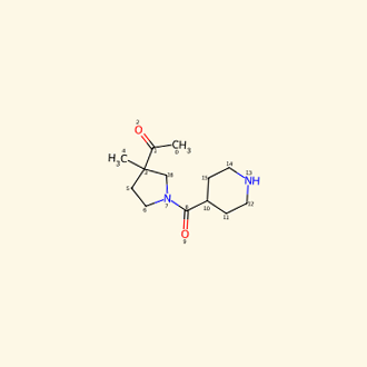 CC(=O)C1(C)CCN(C(=O)C2CCNCC2)C1